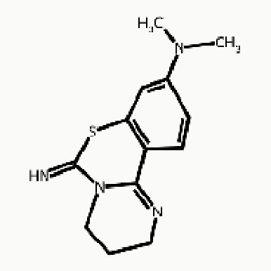 CN(C)c1ccc2c(c1)SC(=N)N1CCCN=C21